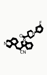 N#CC(=Cc1cccc2cnccc12)c1cn(C(=O)C2CCN(c3cccc(F)c3)CC2)c2ccccc12